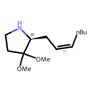 CCCC/C=C\C[C@@H]1NCCC1(OC)OC